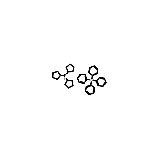 C1CCC([PH+](C2CCCC2)C2CCCC2)C1.c1ccc([B-](c2ccccc2)(c2ccccc2)c2ccccc2)cc1